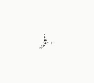 B#S(=P)I